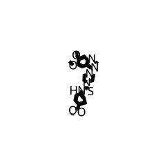 COC(=O)c1ccc(NC(=S)N2CCN(c3ncnc4cc(OC)c(OC)cc34)CC2)cc1